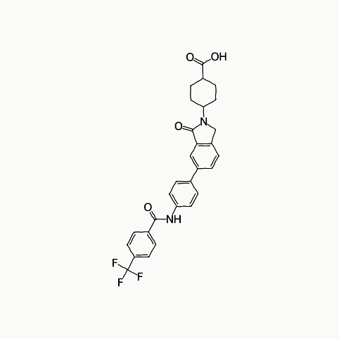 O=C(Nc1ccc(-c2ccc3c(c2)C(=O)N(C2CCC(C(=O)O)CC2)C3)cc1)c1ccc(C(F)(F)F)cc1